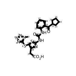 Cn1nnnc1Sc1sc(NC(=O)Nc2ccccc2C(=O)C2CCCC2)nc1CC(=O)O